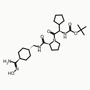 CC(C)(C)OC(=O)N[C@@H](C(=O)N1CCC[C@H]1C(=O)NC[C@H]1CC[C@H](C(N)=NO)CC1)C1CCCC1